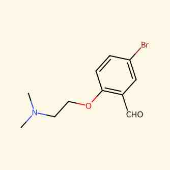 CN(C)CCOc1ccc(Br)cc1C=O